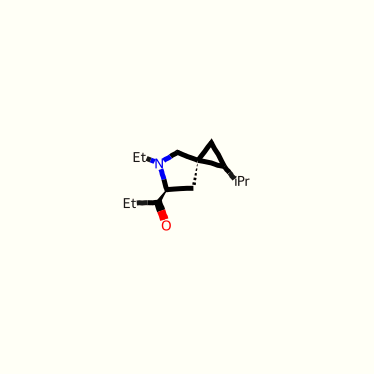 CCC(=O)[C@@H]1C[C@@]2(CC2C(C)C)CN1CC